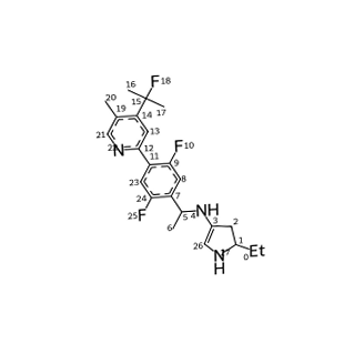 CCC1CC(NC(C)c2cc(F)c(-c3cc(C(C)(C)F)c(C)cn3)cc2F)=CN1